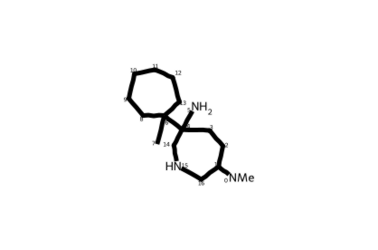 CNC1CCC(N)(C2(C)CCCCCC2)CNC1